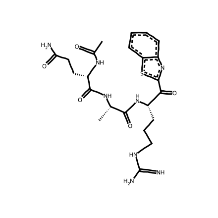 CC(=O)N[C@@H](CCC(N)=O)C(=O)N[C@@H](C)C(=O)N[C@@H](CCCNC(=N)N)C(=O)c1nc2ccccc2s1